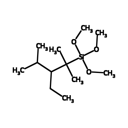 CCC(C(C)C)C(C)(C)[Si](OC)(OC)OC